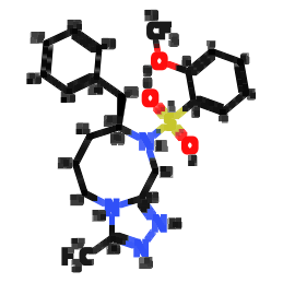 O=S(=O)(c1ccccc1OC(F)(F)F)N1Cc2nnc(C(F)(F)F)n2CCC[C@H]1Cc1ccccc1